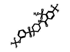 CS(=O)(=O)c1cc(C(F)(F)F)ccc1C(=O)NC1CCC(F)(S(=O)(=O)c2cccc(OC(F)(F)F)c2)CC1